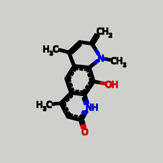 C=C1C=C(C)c2cc3c(C)cc(=O)[nH]c3c(O)c2N1C